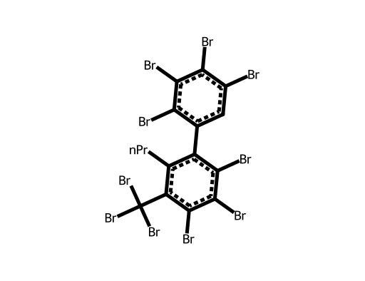 CCCc1c(-c2cc(Br)c(Br)c(Br)c2Br)c(Br)c(Br)c(Br)c1C(Br)(Br)Br